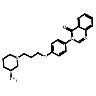 C[C@H]1CCCN(CCCOc2ccc(-n3cnc4ccccc4c3=O)cc2)C1